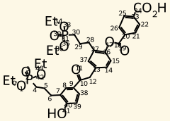 CCOP(=O)(CCCc1cc(C(=O)Cc2ccc(OC(=O)c3ccc(C(=O)O)cc3)c(CCCP(=O)(OCC)OCC)c2)ccc1O)OCC